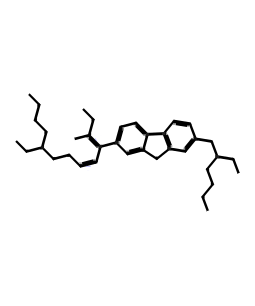 CCCCC(CC)CC/C=C\C(=C(/C)CC)c1ccc2c(c1)Cc1cc(CC(CC)CCCC)ccc1-2